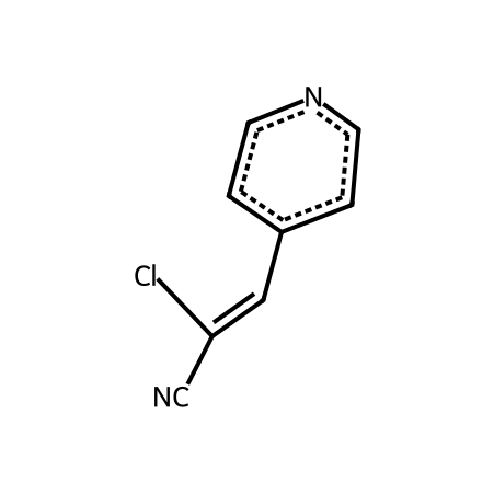 N#CC(Cl)=Cc1ccncc1